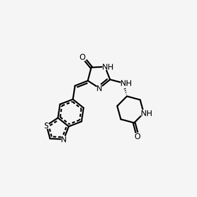 O=C1CC[C@H](NC2=N/C(=C\c3ccc4ncsc4c3)C(=O)N2)CN1